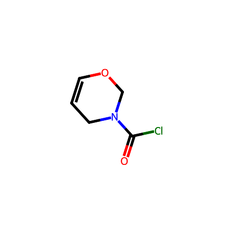 O=C(Cl)N1CC=COC1